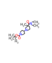 CCN(CC)C(=O)C1(C)CCCN(C2CCN(C(=O)OC(C)(C)C)CC2)C1